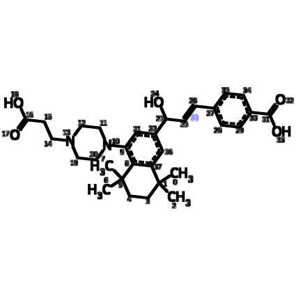 CC1(C)CCC(C)(C)c2c(N3CCN(CCC(=O)O)CC3)cc(C(O)/C=C/c3ccc(C(=O)O)cc3)cc21